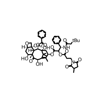 CC(=O)O[C@@]12CO[C@@H]1C[C@H](O)[C@@]1(C)C(=O)[C@H](O)C3=C(C)[C@H](OC(=O)C(OC(=O)CCN4C(=O)CC(C)C4=O)[C@@H](NC(=O)CC(C)(C)C)c4ccccc4)C[C@@](O)([C@@H](OC(=O)c4ccccc4)[C@@H]21)C3(C)C